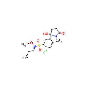 CCCN(OC)S(=O)(=O)c1cc(C2(O)CCC(=O)N2C)ccc1Cl